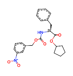 O=C(N[C@@H](Cc1ccccc1)C(=O)OC1CCCC1)OCc1cccc([N+](=O)[O-])c1